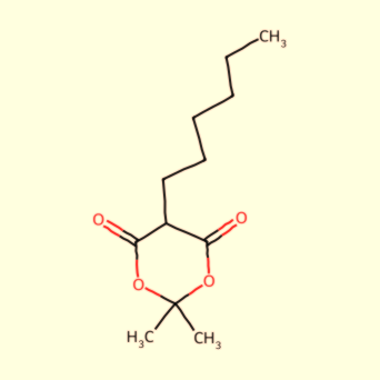 CCCCCCC1C(=O)OC(C)(C)OC1=O